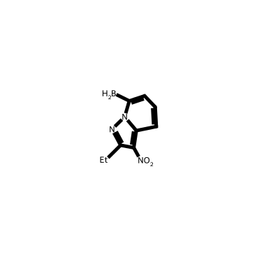 Bc1cccc2c([N+](=O)[O-])c(CC)nn12